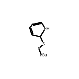 CCCCSSC1C=CC=CN1